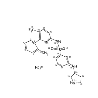 Cc1ccccc1-c1nc(NS(=O)(=O)c2cccc(NC3CCNC3)n2)ccc1C(F)(F)F.Cl